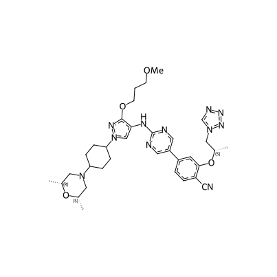 COCCCOc1nn(C2CCC(N3C[C@@H](C)O[C@@H](C)C3)CC2)cc1Nc1ncc(-c2ccc(C#N)c(O[C@@H](C)Cn3cnnn3)c2)cn1